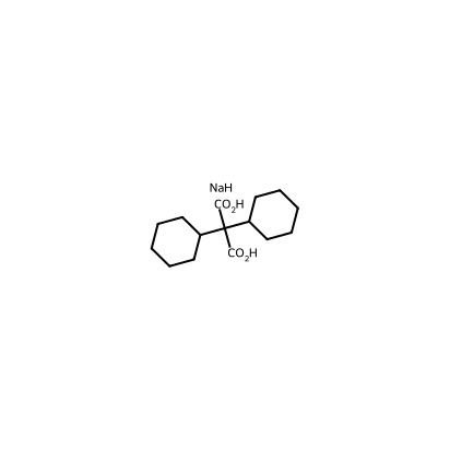 O=C(O)C(C(=O)O)(C1CCCCC1)C1CCCCC1.[NaH]